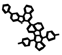 Cc1ccc(-c2c3c(c(-c4ccc(C)cc4)c4ccccc24)-c2ccc(-c4cc5ccccc5c5c4sc4ccc(-c6ccccc6)cc45)c4cccc-3c24)cc1